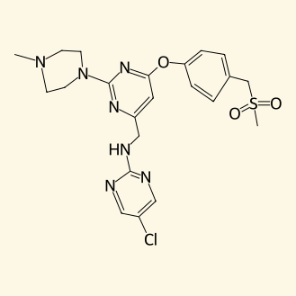 CN1CCN(c2nc(CNc3ncc(Cl)cn3)cc(Oc3ccc(CS(C)(=O)=O)cc3)n2)CC1